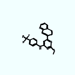 CSc1nc(Nc2ccc(C(F)(F)F)cc2)cc(-c2ccc3cccnc3c2)n1